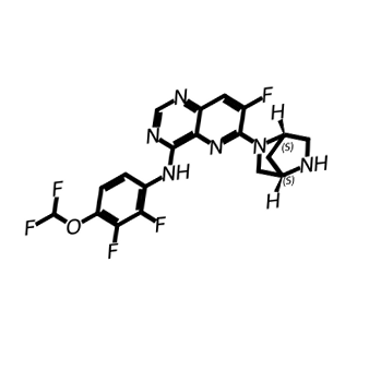 Fc1cc2ncnc(Nc3ccc(OC(F)F)c(F)c3F)c2nc1N1C[C@@H]2C[C@H]1CN2